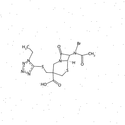 CCn1nnnc1SCC1(C(=O)O)CS[C@@H]2C(N(Br)C(C)=O)C(=O)N2C1